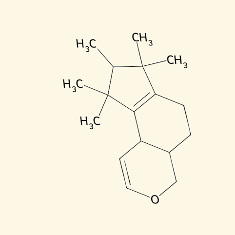 CC1C(C)(C)C2=C(C3C=COCC3CC2)C1(C)C